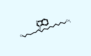 CCCCCCCCCCCCCCCCCl.c1ccc2[nH]cnc2c1